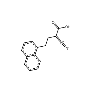 [N-]=[N+]=C(CCc1cccc2ccccc12)C(=O)O